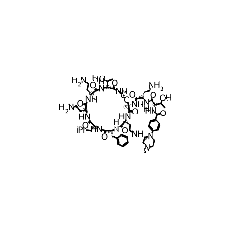 CC(C)C[C@@H]1NC(=O)[C@@H](Cc2ccccc2)NC(=O)[C@H](CCN)NC(=O)[C@@H](NC(=O)[C@H](CCN)NC(=O)[C@@H](NC(=O)c2ccc(N3CCN(C)CC3)cc2)C(C)O)CCNC(=O)[C@H](C(C)O)NC(=O)[C@H](CCN)NC(=O)[C@H](CCN)NC1=O